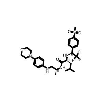 CC(C)C[C@H](N[C@@H](c1ccc(S(C)(=O)=O)cc1)C(F)(F)F)C(=O)N[C@@H](C)CNc1ccc(N2CCOCC2)cc1